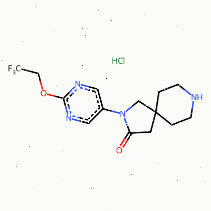 Cl.O=C1CC2(CCNCC2)CN1c1cnc(OCC(F)(F)F)nc1